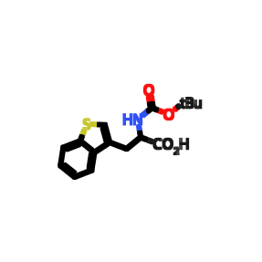 CC(C)(C)OC(=O)NC(Cc1csc2ccccc12)C(=O)O